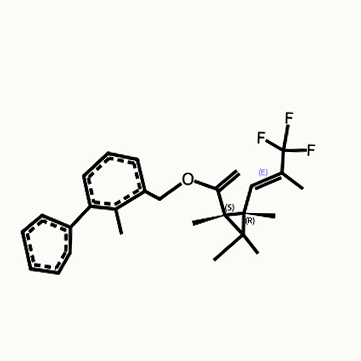 C=C(OCc1cccc(-c2ccccc2)c1C)[C@@]1(C)C(C)(C)[C@@]1(C)/C=C(\C)C(F)(F)F